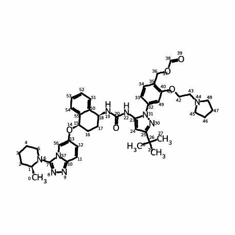 C[C@H]1CCCCN1c1nnc2ccc(O[C@@H]3CC[C@H](NC(=O)Nc4cc(C(C)(C)C)nn4-c4ccc(COC=O)c(OCCN5CCCC5)c4)c4ccccc43)cn12